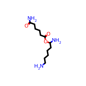 NCCCCCC(N)OC(=O)CCCCC(N)=O